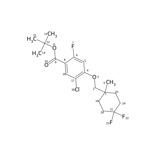 CC1(COc2cc(F)c(C(=O)OC(C)(C)C)cc2Cl)CCC(F)(F)CC1